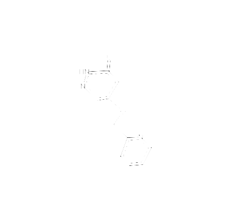 O=c1cc(OCc2ccccn2)cn[nH]1